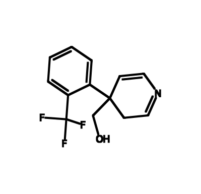 OCC1(c2ccccc2C(F)(F)F)C=CN=CC1